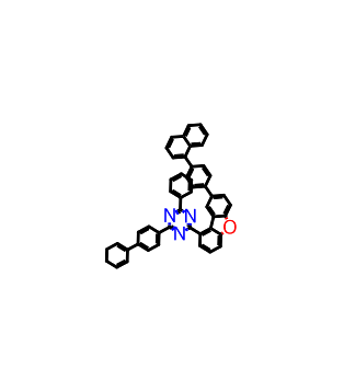 C1=CC(c2ccc(-c3nc(-c4ccccc4)nc(-c4cccc5oc6ccc(-c7ccc(-c8cccc9ccccc89)cc7)cc6c45)n3)cc2)=CCC1